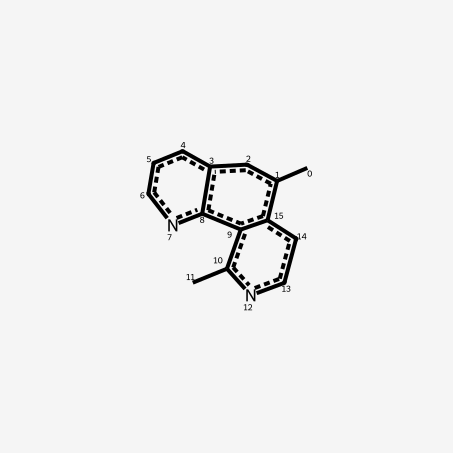 Cc1cc2cccnc2c2c(C)nccc12